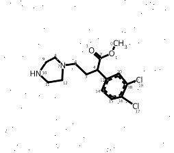 COC(=O)C(CCN1CCNCC1)c1ccc(Cl)c(Cl)c1